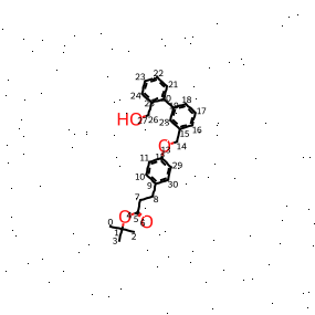 CC(C)(C)OC(=O)CCc1ccc(OCc2cccc(-c3ccccc3CO)c2)cc1